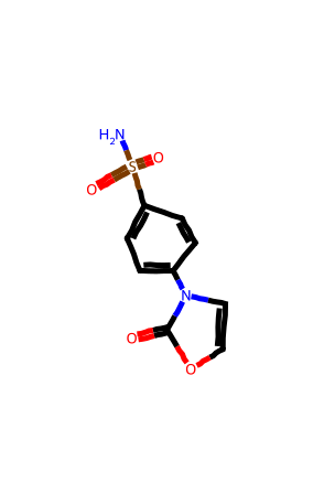 NS(=O)(=O)c1ccc(-n2ccoc2=O)cc1